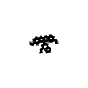 C=CCCC(C[C@@H]1CCCO1)S(=O)(=O)N(Cc1ccc(OC)cc1)Cc1ccc(OC)cc1